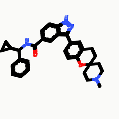 CN1CCC2(CCc3cc(-c4n[nH]c5ccc(C(=O)NC(c6ccccc6)C6CC6)cc45)ccc3O2)CC1